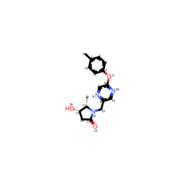 Cc1ccc(Oc2cnc(CN3C(=O)C[C@H](O)[C@@H]3C)cn2)cc1